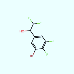 OC(c1cc(F)c(F)c(Br)c1)C(F)F